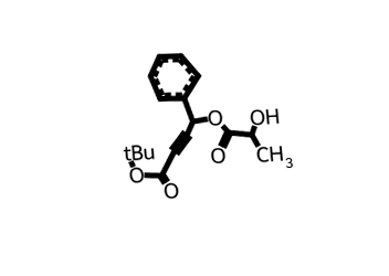 CC(O)C(=O)OC(C#CC(=O)OC(C)(C)C)c1ccccc1